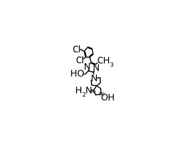 Cc1nc(N2CCC3(CC2)C[C@@H](O)C[C@H]3N)c(CO)nc1-c1cccc(Cl)c1Cl